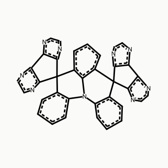 c1ccc2c(c1)N1c3ccccc3C3(c4cccc(c41)C21c2nccnc2-c2nccnc21)c1nccnc1-c1nccnc13